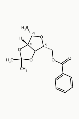 B[C@@H]1O[C@H](COC(=O)c2ccccc2)C2OC(C)(C)O[C@@H]21